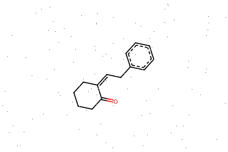 O=C1CCCCC1=CCc1ccccc1